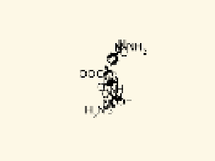 Nc1nnc(-c2cc[n+](CC3=C(C(=O)[O-])N4C(=O)[C@@H](NC(=O)C(=NO)c5csc(N)n5)[C@@H]4SC3)cc2)o1